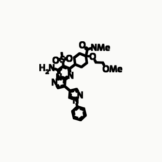 CNC(=O)C1(OCCOC)CCC(c2nc3c(-c4cnn(-c5ccccc5)c4)cnn3c(N)c2S(C)(=O)=O)CC1